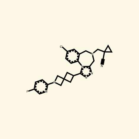 N#CC1(CN2Cc3cc(Cl)ccc3-n3c(nnc3C3CC4(C3)CN(c3ccc(F)cn3)C4)C2)CC1